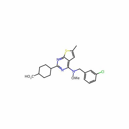 CON(Cc1cccc(Cl)c1)c1nc(C2CCC(C(=O)O)CC2)nc2sc(C)cc12